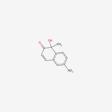 CC1(O)C(=O)C=Cc2cc([N+](=O)[O-])ccc21